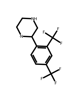 FC(F)(F)c1ccc(C2CNCC[N]2)c(C(F)(F)F)c1